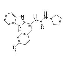 COc1ccc(C[C@@H](NC(=O)NC2CC=CC2)c2nc3ccccc3[nH]2)cc1